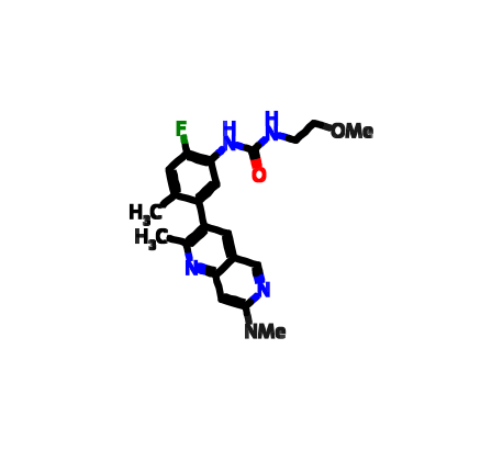 CNc1cc2nc(C)c(-c3cc(NC(=O)NCCOC)c(F)cc3C)cc2cn1